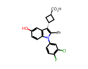 CC(C)c1c([C@H]2C[C@H](C(=O)O)C2)c2cc(O)ccc2n1-c1ccc(F)c(Cl)c1